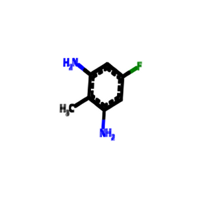 Cc1c(N)cc(F)cc1N